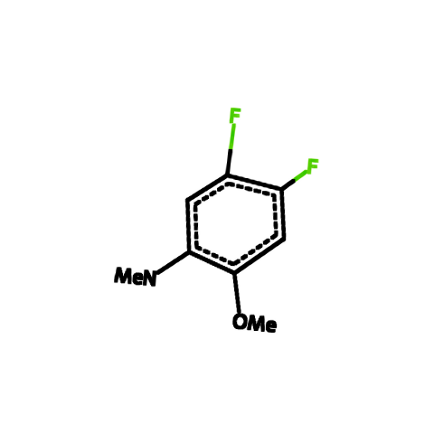 CNc1cc(F)c(F)cc1OC